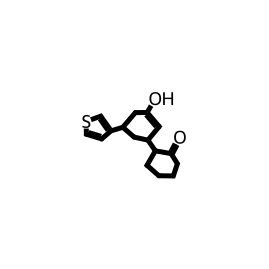 O=C1CCCCC1C1C=C(O)CC(c2ccsc2)C1